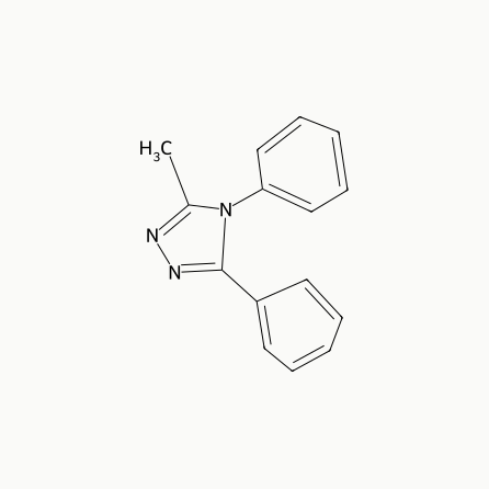 Cc1nnc(-c2ccccc2)n1-c1ccccc1